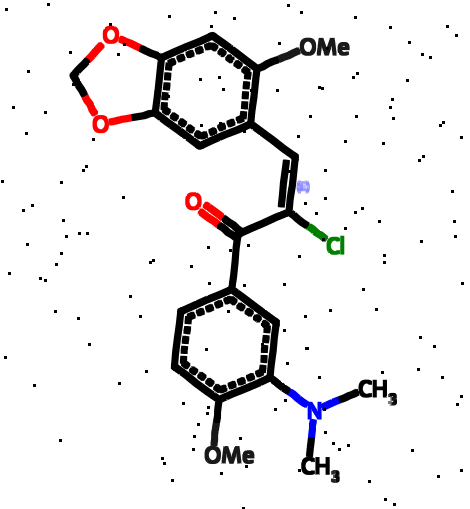 COc1cc2c(cc1/C=C(/Cl)C(=O)c1ccc(OC)c(N(C)C)c1)OCO2